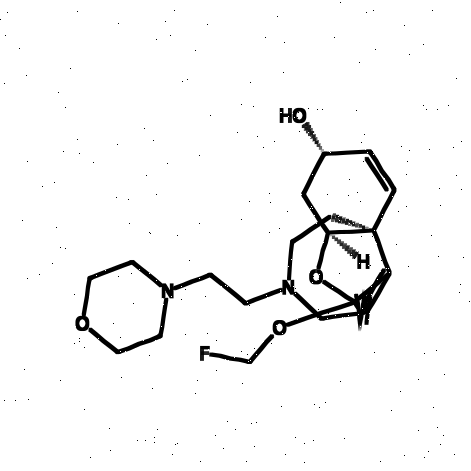 O[C@@H]1C=C[C@@]23CCN(CCN4CCOCC4)Cc4ccc(OCF)c(c42)O[C@H]3C1